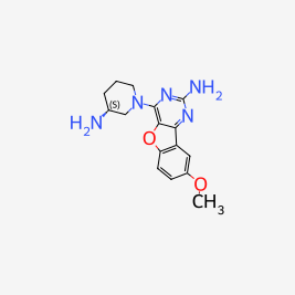 COc1ccc2oc3c(N4CCC[C@H](N)C4)nc(N)nc3c2c1